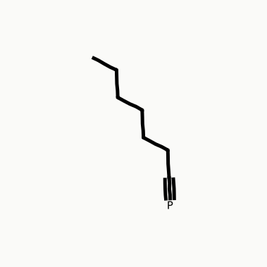 CCCCCCC#P